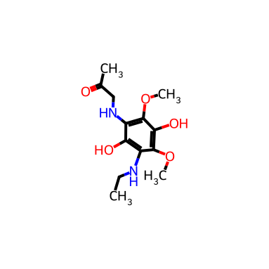 CCNc1c(O)c(NCC(C)=O)c(OC)c(O)c1OC